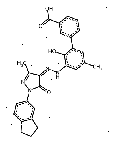 CC1=NN(c2ccc3c(c2)CCC3)C(=O)/C1=N\Nc1cc(C)cc(-c2cccc(C(=O)O)c2)c1O